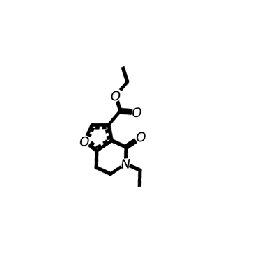 CCOC(=O)c1coc2c1C(=O)N(CC)CC2